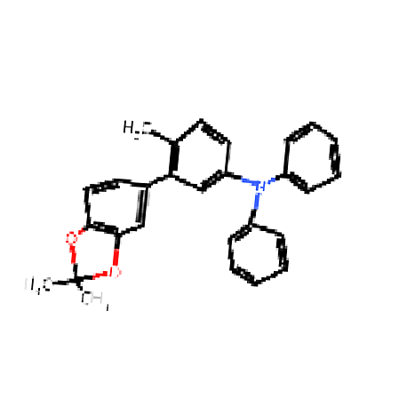 Cc1ccc(N(c2ccccc2)c2ccccc2)cc1-c1ccc2c(c1)OC(C)(C)O2